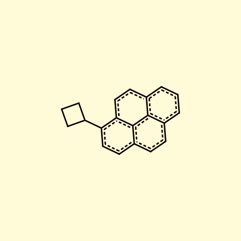 c1cc2ccc3ccc(C4CCC4)c4ccc(c1)c2c34